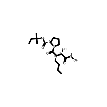 CCCC[C@@H](C(=O)N1CCC[C@H]1C(=O)NC(C)(C)CC)[C@H](O)C(=O)NO